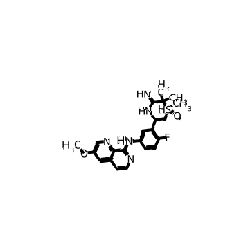 COc1cnc2c(Nc3ccc(F)c(C4C[SH](C)(=O)C(C)(C)C(=N)N4)c3)nccc2c1